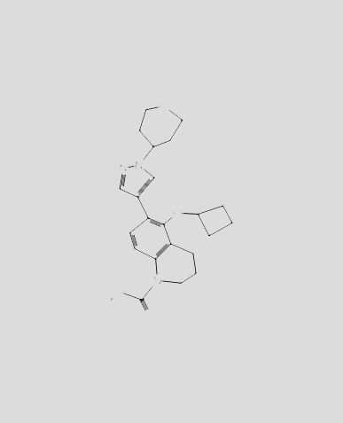 COC(=O)N1c2ccc(-c3cnn(C4CCOCC4)c3)c(OC3CCC3)c2CC[C@@H]1C